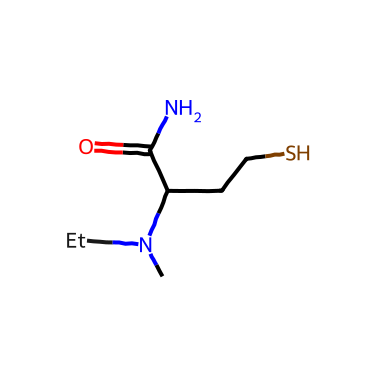 CCN(C)C(CCS)C(N)=O